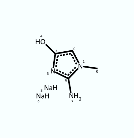 Cn1cc(O)nc1N.[NaH].[NaH]